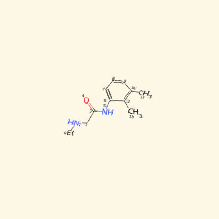 CCNCC(=O)Nc1cccc(C)c1C